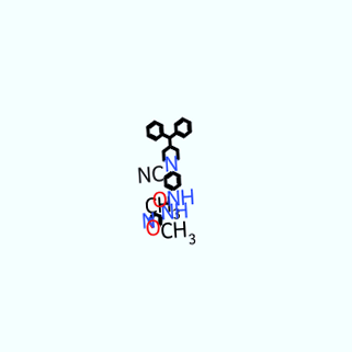 Cc1noc(C)c1NC(=O)Nc1ccc(N2CCC(C(c3ccccc3)c3ccccc3)CC2)c(C#N)c1